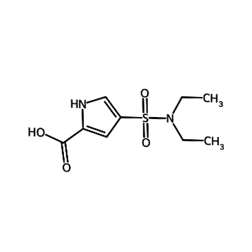 CCN(CC)S(=O)(=O)c1c[nH]c(C(=O)O)c1